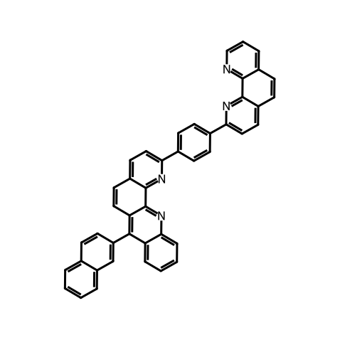 c1ccc2cc(-c3c4ccccc4nc4c3ccc3ccc(-c5ccc(-c6ccc7ccc8cccnc8c7n6)cc5)nc34)ccc2c1